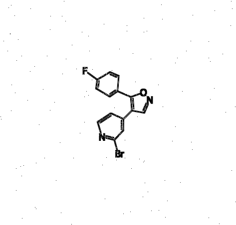 Fc1ccc(-c2oncc2-c2ccnc(Br)c2)cc1